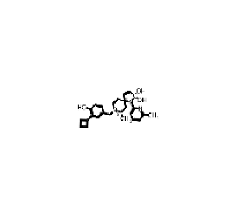 Cc1cccc(N2[C@]3(C=CS2(O)O)CCN(Cc2ccc(O)c(C4CCC4)c2)[C@@H](C)C3)n1